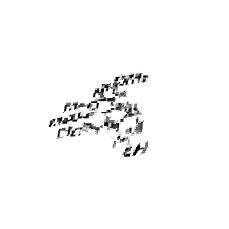 CCOC1=CC2=C3C[C@H](O)CC[C@H]3N=C(c3cc(OC)nnc3OC)C2C=C1OC